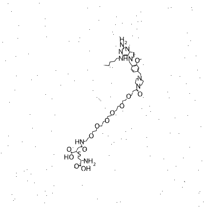 CCCCCNc1nc(N)nc2ccn(Cc3ccc(CN4CCN(C(=O)CCOCCOCCOCCOCCOCCOCCNC(=O)CC(SCC(N)C(=O)O)C(=O)O)CC4)cc3OC)c12